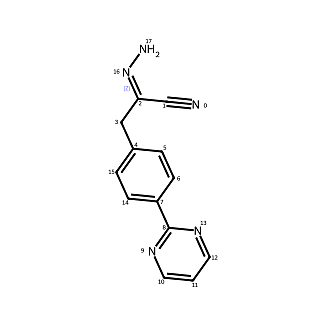 N#C/C(Cc1ccc(-c2ncccn2)cc1)=N\N